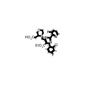 CCOC(=O)C1=C(CN2CCOCC2CC(=O)O)NC(c2ncccc2F)=NC1c1ccc(F)cc1Cl